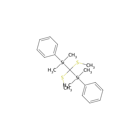 CSC(SC)([Si](C)(C)c1ccccc1)[Si](C)(C)c1ccccc1